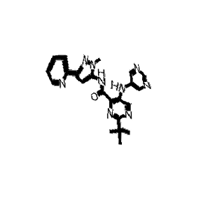 Cn1nc(-c2ccccn2)cc1NC(=O)c1nc(C(C)(C)C)ncc1Nc1cncnc1